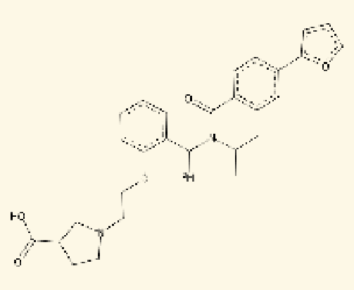 [2H]C(c1ccccc1OCCN1CCC(C(=O)O)C1)N(C(=O)c1ccc(-c2ccco2)cc1)C(C)C